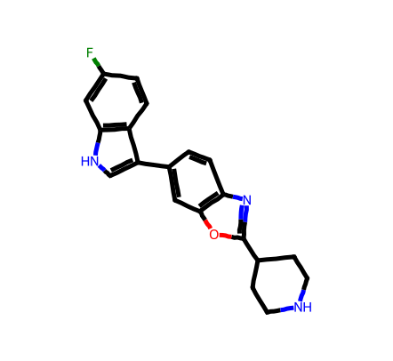 Fc1ccc2c(-c3ccc4nc(C5CCNCC5)oc4c3)c[nH]c2c1